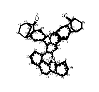 O=C1c2cc3c(cc2C2CCC1CC2)c1cc2c(c4cccc5ccc6c7ccccc7n2c6c54)c2c4cc5c(cc4n3c12)C(=O)C1CCC5CC1